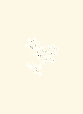 CN(C)CCCN(C(=O)c1ccccc1)c1ccc(-c2ccccn2)cn1